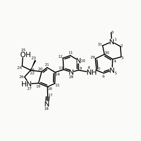 CN1CCc2ncc(Nc3nccc(-c4cc(C#N)c5c(c4)[C@@](C)(CO)CN5)n3)cc2C1